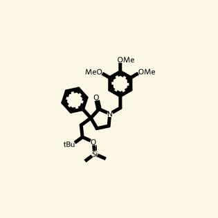 COc1cc(CN2CCC(CC(O[SiH](C)C)C(C)(C)C)(c3ccccc3)C2=O)cc(OC)c1OC